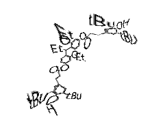 CCOc1cc(OC(=O)CCc2cc(C(C)(C)C)c(O)c(C(C)(C)C)c2)ccc1C(CC)c1ccc(OC(=O)CCc2cc(C(C)(C)C)c(O)c(C(C)(C)C)c2)cc1OCC